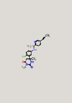 CC#Cc1ccc([C@@H](C)Nc2ccc(Cl)c(C3(C)CC(=O)N(C)C(=N)N3)c2)nc1